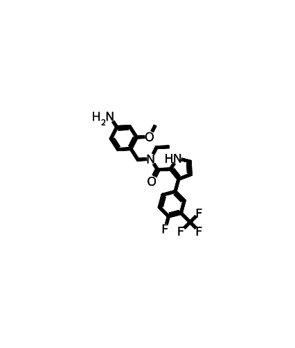 CCN(Cc1ccc(N)cc1OC)C(=O)c1[nH]ccc1-c1ccc(F)c(C(F)(F)F)c1